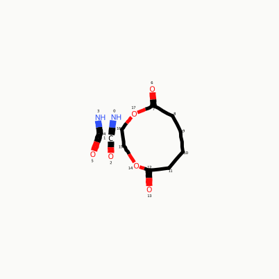 N=C=O.N=C=O.O=C1CCCCC(=O)OCCO1